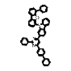 c1ccc(-c2ccc(-c3cc(-c4ccc5c6ccccc6n(-c6cccc7c6oc6c(-c8ccccc8)cccc67)c5c4)nc(-c4ccccc4)n3)cc2)cc1